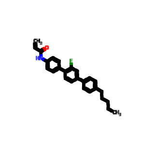 C=CC(=O)Nc1ccc(-c2ccc(-c3ccc(CCCCC)cc3)cc2F)cc1